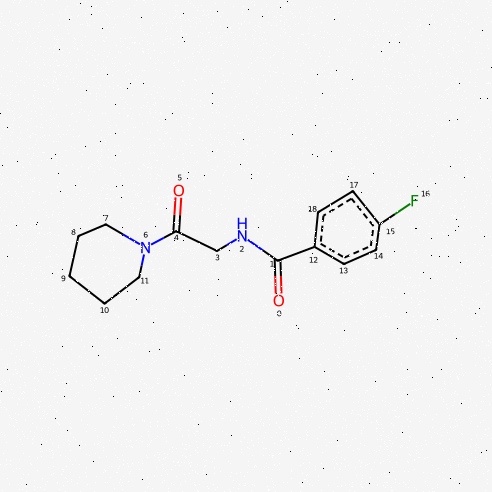 O=C(NCC(=O)N1CCCCC1)c1ccc(F)cc1